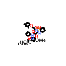 CCCCCCCCCCCCOc1ccccc1NC(=O)C(Oc1ccc(C(=O)O)cc1OC)C1=Nc2ccccc2S(=O)(=O)N1CCCOc1ccc(C)cc1C